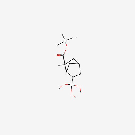 CCO[Si](OCC)(OCC)C1CC2CC1C(C)(C(=O)O[Si](C)(C)C(C)(C)C)C2